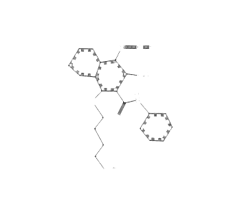 CCCCCCCCCCCCCCOc1c(C(=O)Nc2ccccc2)c(O)c(N=C=S)c2ccccc12